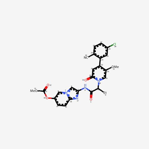 CCC(C(=O)Nc1cn2cc(OC(=O)OC)ccc2n1)n1cc(OC)c(-c2cc(Cl)ccc2C#N)cc1=O